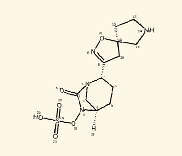 O=C1N2C[C@@H](CC[C@H]2C2=NO[C@]3(CCNC3)C2)N1OS(=O)(=O)O